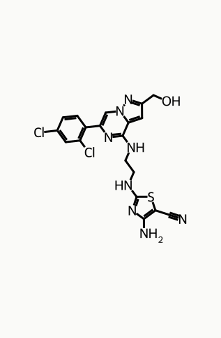 N#Cc1sc(NCCNc2nc(-c3ccc(Cl)cc3Cl)cn3nc(CO)cc23)nc1N